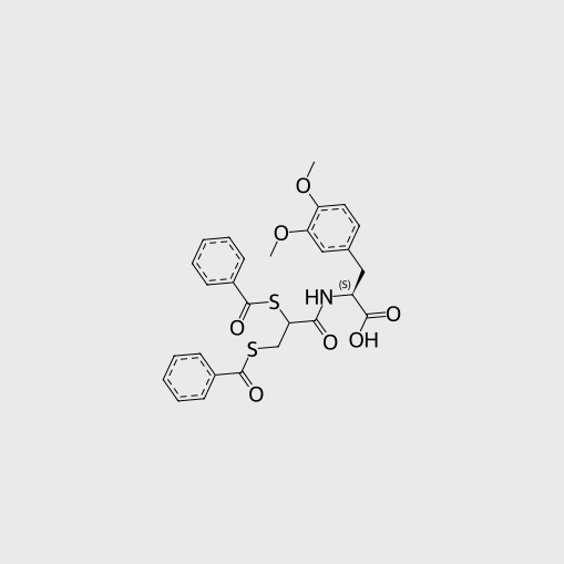 COc1ccc(C[C@H](NC(=O)C(CSC(=O)c2ccccc2)SC(=O)c2ccccc2)C(=O)O)cc1OC